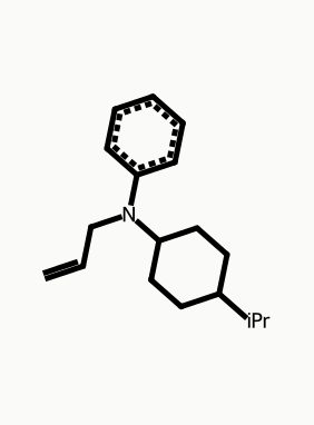 C=CCN(c1ccccc1)C1CCC(C(C)C)CC1